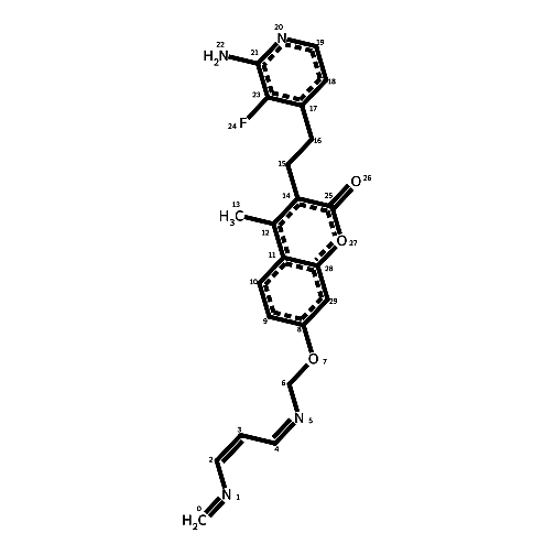 C=N/C=C\C=N/COc1ccc2c(C)c(CCc3ccnc(N)c3F)c(=O)oc2c1